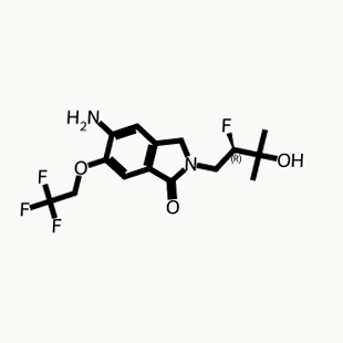 CC(C)(O)[C@H](F)CN1Cc2cc(N)c(OCC(F)(F)F)cc2C1=O